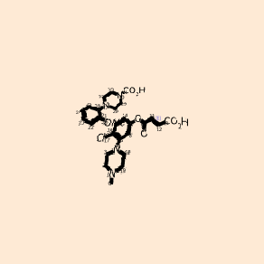 CN1CCN(c2cc(OC(=O)/C=C/C(=O)O)ccc2Cl)CC1.COc1ccccc1N1CCN(C(=O)O)CC1